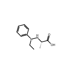 CCN(N[C@@H](C)C(=O)O)c1ccccc1